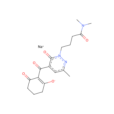 Cc1cc(C(=O)C2=C([O-])CCCC2=O)c(=O)n(CCCC(=O)N(C)C)n1.[Na+]